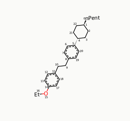 CCCCC[C@H]1CC[C@H](c2ccc(CCc3ccc(OCC)cc3)cc2)CC1